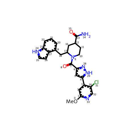 COc1cc(-c2cc(C(=O)N3CCC(C(N)=O)CC3Cc3cccc4[nH]ccc34)n[nH]2)c(Cl)cn1